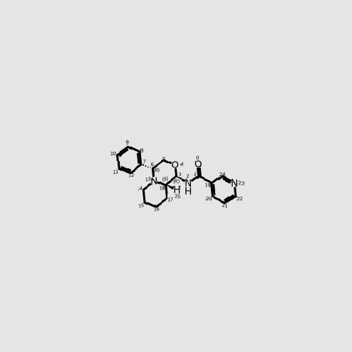 O=C(N[C@@H]1OC[C@@H](c2ccccc2)N2CCCC[C@@H]12)c1cccnc1